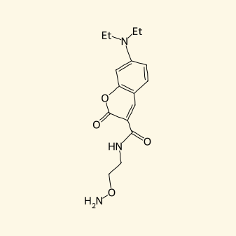 CCN(CC)c1ccc2cc(C(=O)NCCON)c(=O)oc2c1